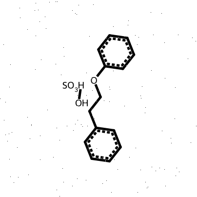 O=S(=O)(O)O.c1ccc(CCOc2ccccc2)cc1